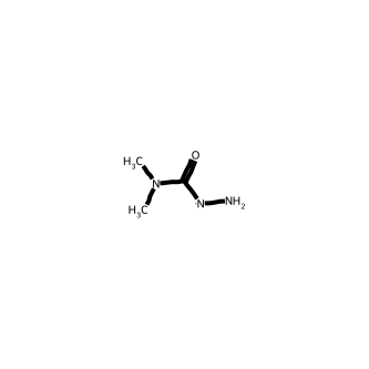 CN(C)C(=O)[N]N